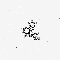 CC(C)(C)OC(=O)Oc1c(C2CCCO2)cccc(F)c1=O